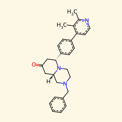 Cc1nccc(-c2ccc([C@H]3CC(=O)C[C@H]4CN(Cc5ccccc5)CCN43)cc2)c1C